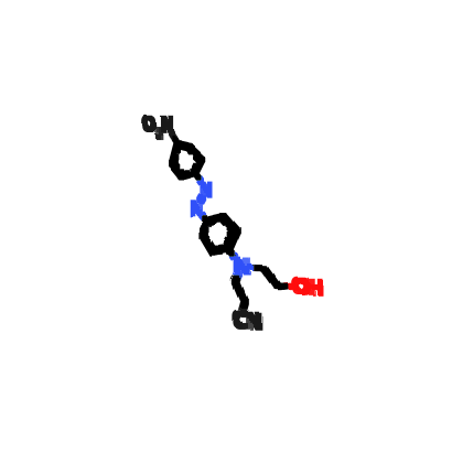 N#CCCN(CCO)c1ccc(N=Nc2ccc([N+](=O)[O-])cc2)cc1